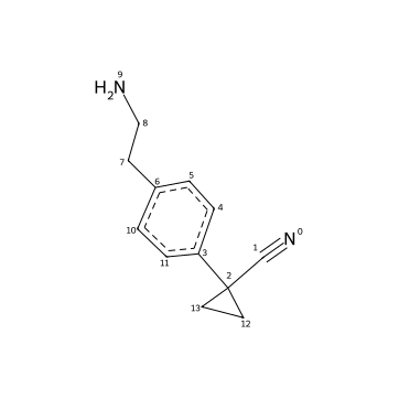 N#CC1(c2ccc(CCN)cc2)CC1